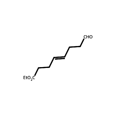 CCOC(=O)CC/C=C/CCC=O